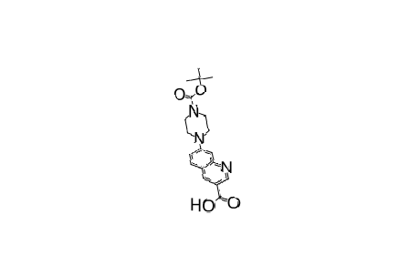 CC(C)(C)OC(=O)N1CCN(c2ccc3cc(C(=O)O)cnc3c2)CC1